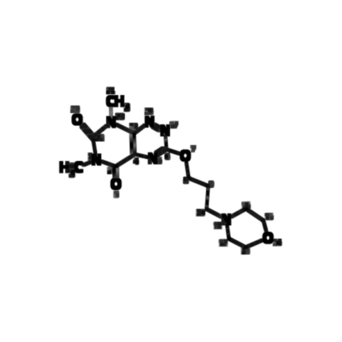 Cn1c(=O)c2nc(OCCCN3CCOCC3)nnc2n(C)c1=O